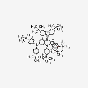 CC(C)(C)c1ccc(N(c2ccc(C(C)(C)C)cc2)c2cc3c4c(c2)N(c2ccc(C(C)(C)C)cc2-c2ccccc2)c2c(oc5cc6c(cc25)C(C)(C)CCC6(C)C)B4n2c4ccc(C(C)(C)C)cc4c4cc(C(C)(C)C)cc-3c42)cc1